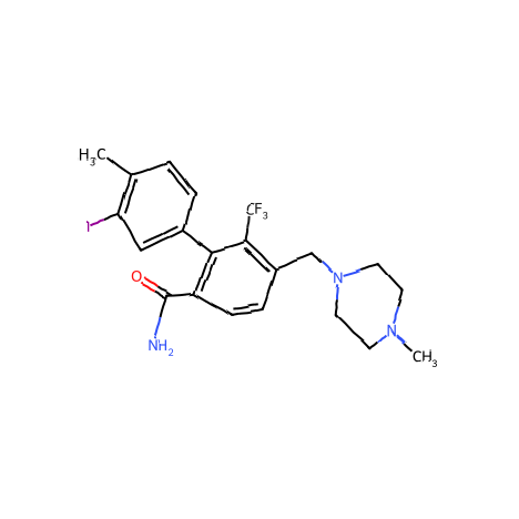 Cc1ccc(-c2c(C(N)=O)ccc(CN3CCN(C)CC3)c2C(F)(F)F)cc1I